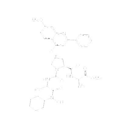 CCCC(NC(=O)[C@@H]1C[C@@H](Oc2cc(-c3ccccc3)nc3cc(OC)ccc23)CN1C(=O)NC(C(=O)N(C)C1CCCCC1)C(C)C)C(=O)OC